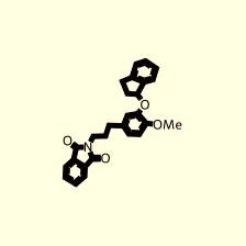 COc1ccc(CCCN2C(=O)c3ccccc3C2=O)cc1OC1CCc2ccccc21